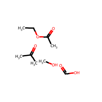 CC(C)=O.CCOC(C)=O.CO.O=CO